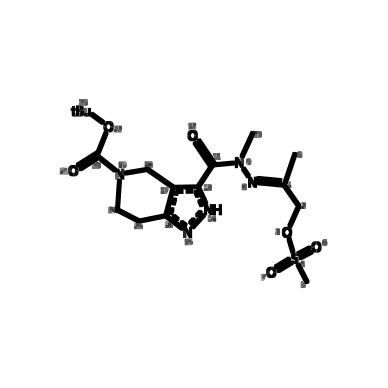 C/C(COS(C)(=O)=O)=N\N(C)C(=O)c1[nH]nc2c1CN(C(=O)OC(C)(C)C)CC2